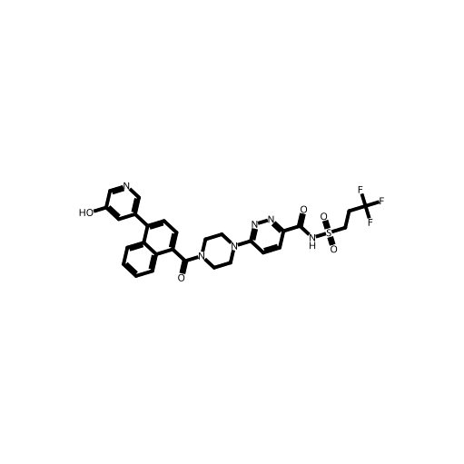 O=C(NS(=O)(=O)CCC(F)(F)F)c1ccc(N2CCN(C(=O)c3ccc(-c4cncc(O)c4)c4ccccc34)CC2)nn1